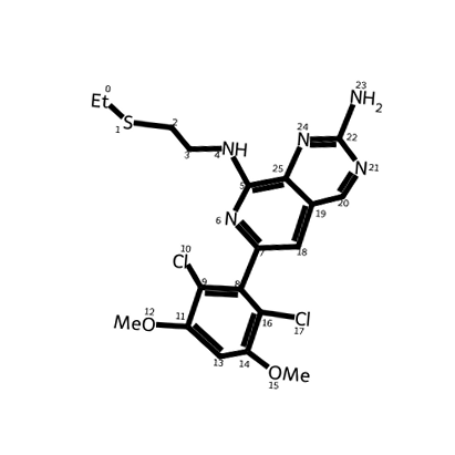 CCSCCNc1nc(-c2c(Cl)c(OC)cc(OC)c2Cl)cc2cnc(N)nc12